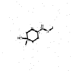 CSN[C@H]1CC[C@](C)(O)CC1